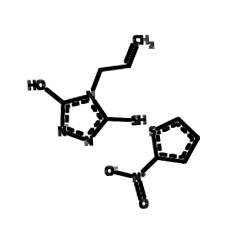 C=CCn1c(O)nnc1S.O=[N+]([O-])c1cccs1